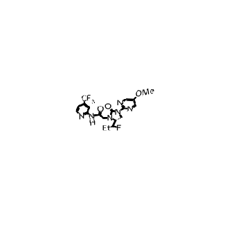 CC[C@H](F)[C@H]1CN(c2ncc(OC)cn2)C(=O)N1CC(=O)Nc1cc(C(F)(F)F)ccn1